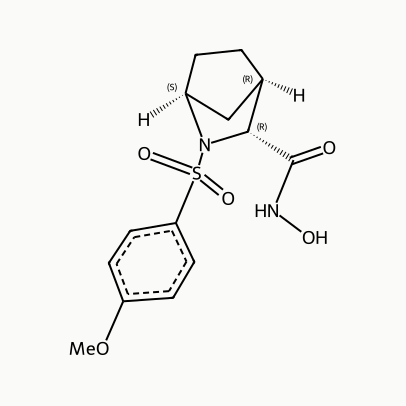 COc1ccc(S(=O)(=O)N2[C@H]3CC[C@H](C3)[C@@H]2C(=O)NO)cc1